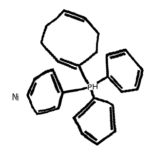 C1=CCCC([PH](c2ccccc2)(c2ccccc2)c2ccccc2)=CCC1.[Ni]